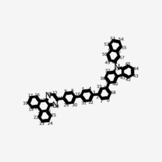 c1cc(-c2ccc(-c3ccc(-c4cnc5c6ccccc6c6ccccc6c5n4)cc3)cc2)cc(-c2ccc3c(c2)c2ccccc2n3-c2ccc3ccccc3c2)c1